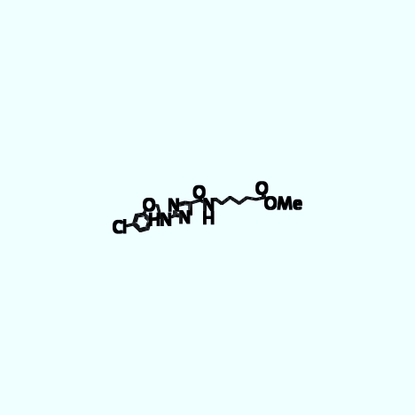 COC(=O)CCCCCCNC(=O)c1cnc(NC2COc3cc(Cl)ccc32)nc1